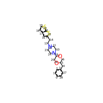 c1ccc(CC2COC(N3CCN(CCc4cc5ccsc5s4)CC3)CO2)cc1